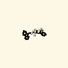 COC(=O)[C@H](Cc1c[nH]c2ccccc12)NC(=O)OCC1c2ccccc2-c2ccccc21